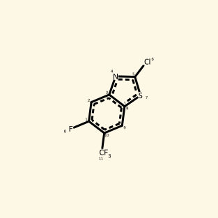 Fc1cc2nc(Cl)sc2cc1C(F)(F)F